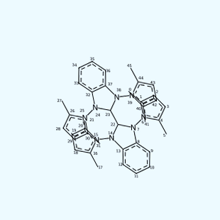 Cc1ccc(C)n1N1c2ccccc2N(n2c(C)ccc2C)C1C1N(n2c(C)ccc2C)c2ccccc2N1n1c(C)ccc1C